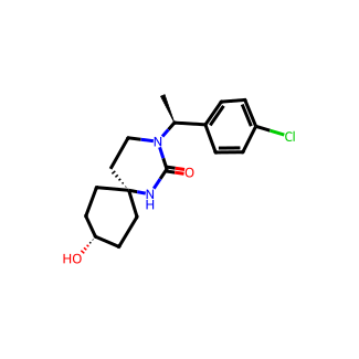 C[C@@H](c1ccc(Cl)cc1)N1CC[C@]2(CC[C@@H](O)CC2)NC1=O